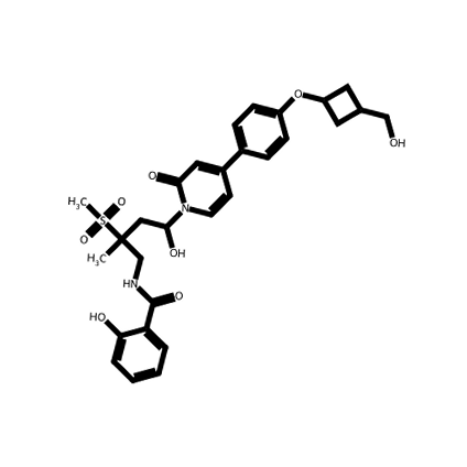 CC(CNC(=O)c1ccccc1O)(CC(O)n1ccc(-c2ccc(OC3CC(CO)C3)cc2)cc1=O)S(C)(=O)=O